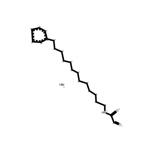 Br.O=CC(=O)NCCCCCCCCCCCCCc1ccccc1